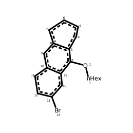 CCCCCCOc1c2ccccc2cc2ccc(Br)cc12